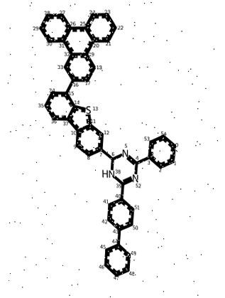 c1ccc(C2=NC(c3ccc4c(c3)sc3c(-c5ccc6c7ccccc7c7ccccc7c6c5)cccc34)NC(c3ccc(-c4ccccc4)cc3)=N2)cc1